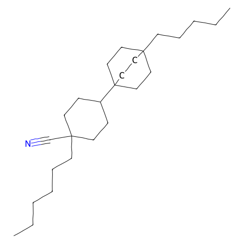 CCCCCCC1(C#N)CCC(C23CCC(CCCCC)(CC2)CC3)CC1